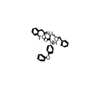 O=C(Cc1ccccc1F)N[C@@H](COCc1ccccc1)C(=O)Nc1ccc(Oc2ccccc2)cc1